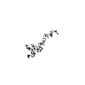 CCN(C(=O)[C@@H]1CCN(CC(=O)N2CC=C(c3ncc(-c4cn(C)cn4)s3)CC2)C1)c1ccc(N)c(C(=N)c2ccc(OC(C)C)nc2)n1